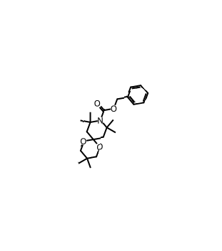 CC1(C)COC2(CC(C)(C)N(C(=O)OCc3ccccc3)C(C)(C)C2)OC1